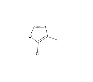 Cc1ccoc1Cl